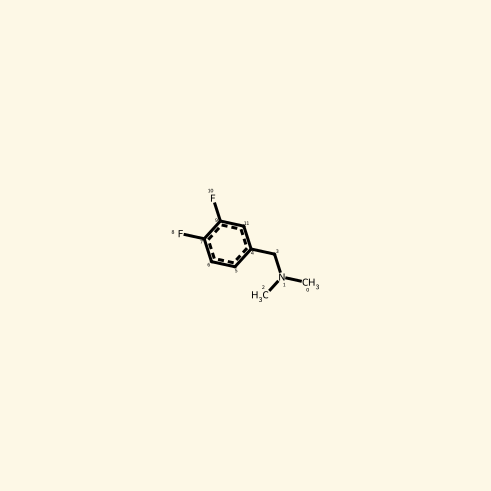 CN(C)Cc1ccc(F)c(F)c1